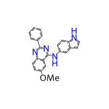 COc1ccc2nc(-c3ccccc3)nc(Nc3ccc4[nH]ccc4c3)c2c1